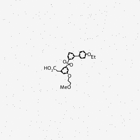 CCOc1ccc(-c2cccc(S(=O)(=O)c3cc(CC(=O)O)cc(OCCOC)c3)c2)cc1